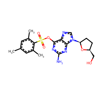 Cc1cc(C)c(S(=O)(=O)Oc2nc(N)nc3c2ncn3[C@H]2CC[C@@H](CO)O2)c(C)c1